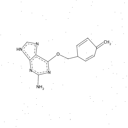 C=C1C=CC(COc2nc(N)nc3[nH]cnc23)C=C1